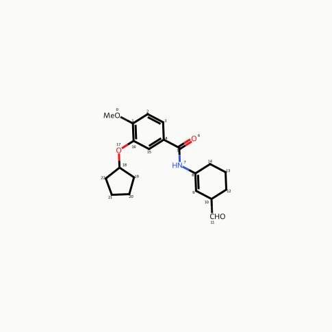 COc1ccc(C(=O)NC2=CC(C=O)CCC2)cc1OC1CCCC1